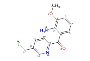 COc1cccc(C(=O)c2ccc(CF)cn2)c1N